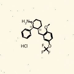 COc1ccc(OC(F)(F)F)cc1C[C@@H]1CCCN(N)[C@@H]1c1ccccc1.Cl